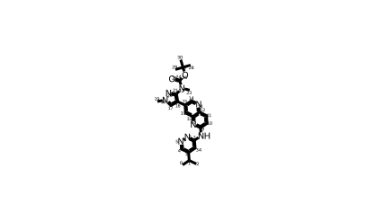 CC(C)c1cnnc(Nc2ccc3ncc(-c4cn(C)nc4N(C)C(=O)OC(C)(C)C)cc3n2)c1